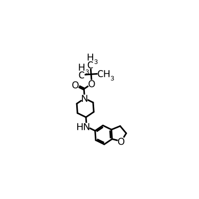 CC(C)(C)OC(=O)N1CCC(Nc2ccc3c(c2)CCO3)CC1